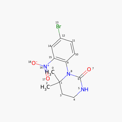 CC1(C)CCNC(=O)N1c1ccc(Br)cc1[N+](=O)[O-]